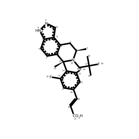 C[C@@H]1Cc2c(ccc3[nH]ncc23)[C@@](C)(c2c(F)cc(/C=C/C(=O)O)cc2F)N1CC(C)(C)F